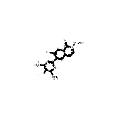 CCCCCn1ccc2cc(-c3nc(C)c(C(F)(F)F)c(N)n3)c(F)cc2c1=O